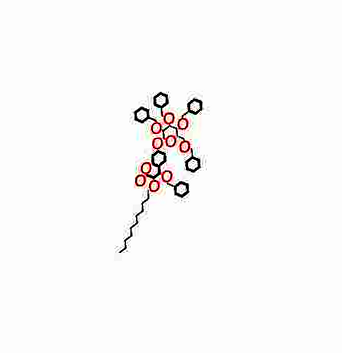 CCCCCCCCCCCOc1c(OCc2ccccc2)c2ccc(O[C@H]3O[C@H](COCc4ccccc4)[C@@H](OCc4ccccc4)[C@H](OCc4ccccc4)[C@@H]3OCc3ccccc3)cc2oc1=O